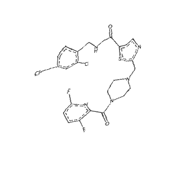 O=C(NCc1ccc(Cl)cc1Cl)c1cnc(CN2CCN(C(=O)c3nc(F)ccc3F)CC2)s1